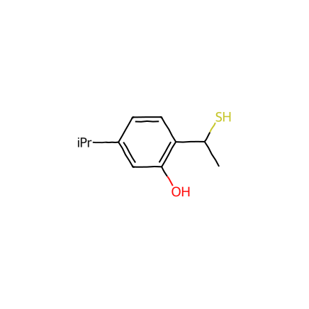 CC(C)c1ccc(C(C)S)c(O)c1